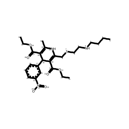 CCCCNCCSCC1=C(C(=O)OCC)C(c2cccc([N+](=O)[O-])c2)C(C(=O)OCC)=C(C)N1